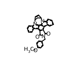 COc1ccc(CN2C(=O)c3c(c4c5ccccc5n5c4c4c3c3ccccc3n4C3C=CC5C3)C2=O)cc1